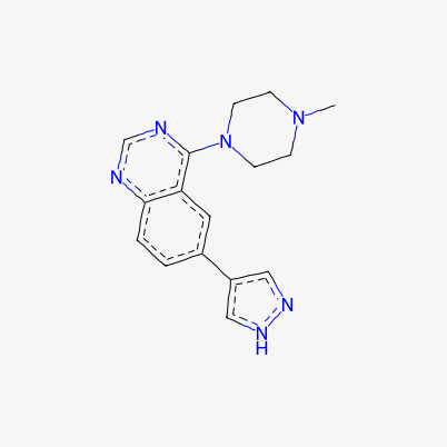 CN1CCN(c2ncnc3ccc(-c4cn[nH]c4)cc23)CC1